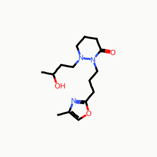 Cc1coc(CCCN2C(=O)CCCN2CCC(C)O)n1